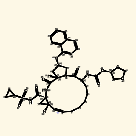 O=C(N[C@H]1CCCCC/C=C\[C@@H]2C[C@@]2(C(=O)NS(=O)(=O)C2CC2)NC(=O)[C@@H]2C[C@@H](Oc3nccc4ccccc34)CN2C1=O)O[C@H]1CCOC1